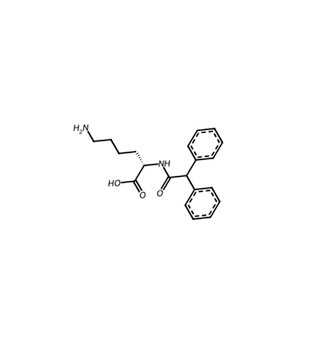 NCCCC[C@H](NC(=O)C(c1ccccc1)c1ccccc1)C(=O)O